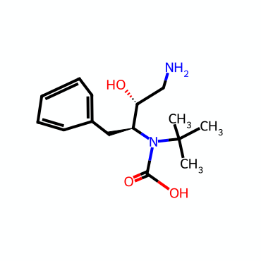 CC(C)(C)N(C(=O)O)[C@@H](Cc1ccccc1)[C@H](O)CN